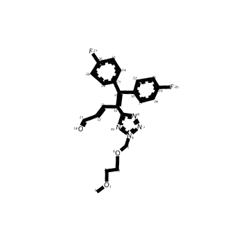 COCCOCn1nnc(C(/C=C/C=O)=C(c2ccc(F)cc2)c2ccc(F)cc2)n1